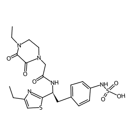 CCc1csc([C@H](Cc2ccc(NS(=O)(=O)O)cc2)NC(=O)CN2CCN(CC)C(=O)C2=O)n1